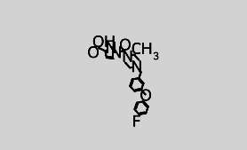 C[C@H]1CN(Cc2cccc(Oc3ccc(F)cc3)c2)CCN1C(=O)n1ccc(C(=O)O)n1